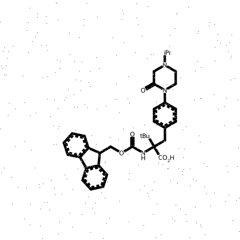 CC(C)N1CCN(c2ccc(CC(NC(=O)OCC3c4ccccc4-c4ccccc43)(C(=O)O)C(C)(C)C)cc2)C(=O)C1